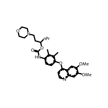 CCCC(CCN1CCOCC1)OC(=O)Nc1ccc(Oc2ccnc3cc(OC)c(OC)cc23)c(C)c1C